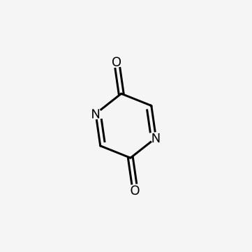 O=C1C=NC(=O)C=N1